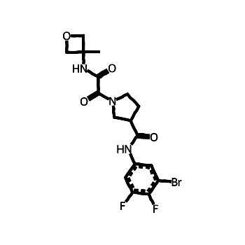 CC1(NC(=O)C(=O)N2CCC(C(=O)Nc3cc(F)c(F)c(Br)c3)C2)COC1